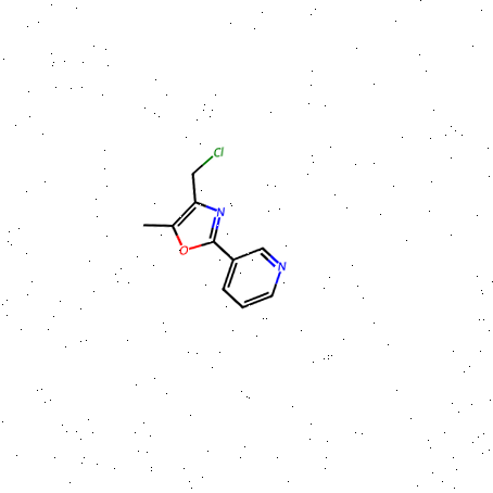 Cc1oc(-c2cccnc2)nc1CCl